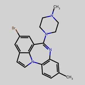 Cc1ccc2c(c1)N=C(N1CCN(C)CC1)c1cc(Br)cc3ccn-2c13